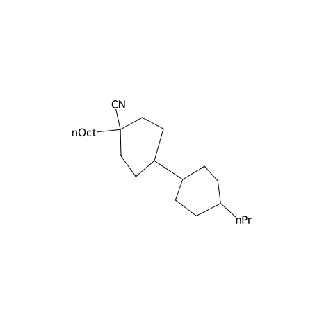 CCCCCCCCC1(C#N)CCC(C2CCC(CCC)CC2)CC1